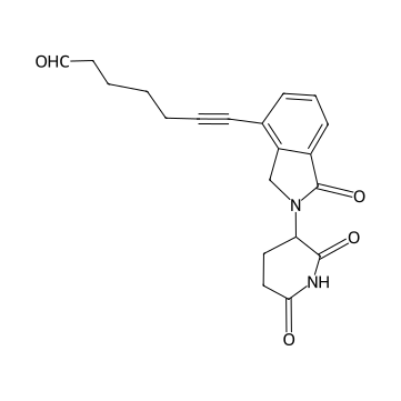 O=CCCCCC#Cc1cccc2c1CN(C1CCC(=O)NC1=O)C2=O